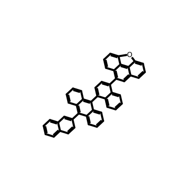 c1ccc2cc(-c3c4ccccc4c(-c4ccc(-c5cc6cccc7oc8cccc5c8c67)c5ccccc45)c4ccccc34)ccc2c1